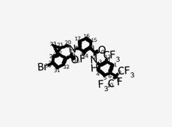 O=C(Nc1ccc(C(F)(C(F)(F)F)C(F)(F)F)cc1C(F)(F)F)c1cccc(N(CC2CC2)C(=O)c2ccc(Br)cc2)c1F